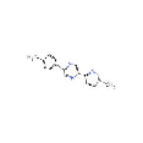 Cc1ccc(-c2cnc(-c3ccc(C)cn3)cn2)cc1